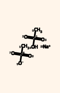 CS(=O)(=O)O.CS(=O)(=O)[O-].[Na+]